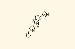 Fc1nc(N2CCCC2)ccc1-c1nc2nc(-c3ccn[nH]3)ccc2s1